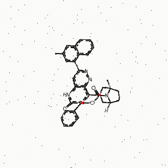 Cc1cc(-c2cc3[nH]c(=O)nc(N4C[C@H]5CC[C@@](C)(C4)N5C(=O)OCc4ccccc4)c3nn2)c2ccccc2c1